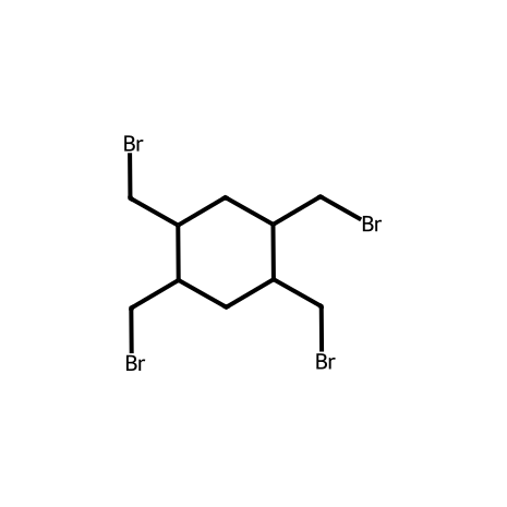 BrCC1CC(CBr)C(CBr)CC1CBr